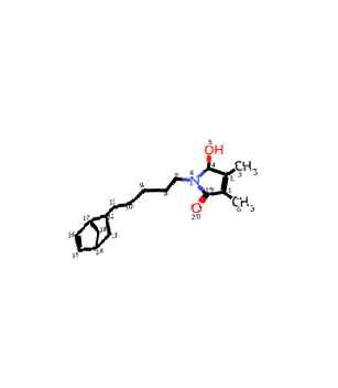 CC1=C(C)C(O)N(CCCCCC2CC3C=CC2C3)C1=O